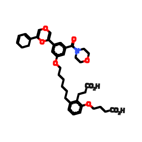 O=C(O)CCCOc1cccc(CCCCCCOc2cc(C(=O)N3CCOCC3)cc(C3=COC=C(C4=CC=CCC4)O3)c2)c1CCC(=O)O